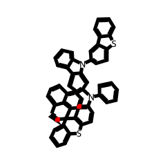 c1ccc(N(c2ccc3c(c2)C2(c4ccccc4S3)c3ccccc3-c3cccc4cccc2c34)c2ccc3c4ccccc4n(-c4ccc5sc6ccccc6c5c4)c3c2)cc1